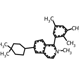 Cc1cc(C)c(C)c(-c2c3ccc(C4CCC(C)(C)CC4)cc3cc[n+]2C)c1